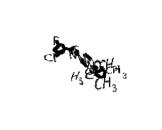 Cc1cc(C)c(C)c(S(=O)(=O)N2CCN(c3nc(-c4cc(F)cc(Cl)c4)cs3)CC2)c1C